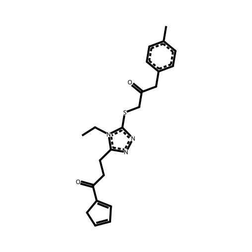 CCn1c(CCC(=O)C2=CC=CC2)nnc1SCC(=O)Cc1ccc(C)cc1